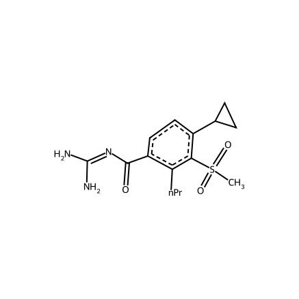 CCCc1c(C(=O)N=C(N)N)ccc(C2CC2)c1S(C)(=O)=O